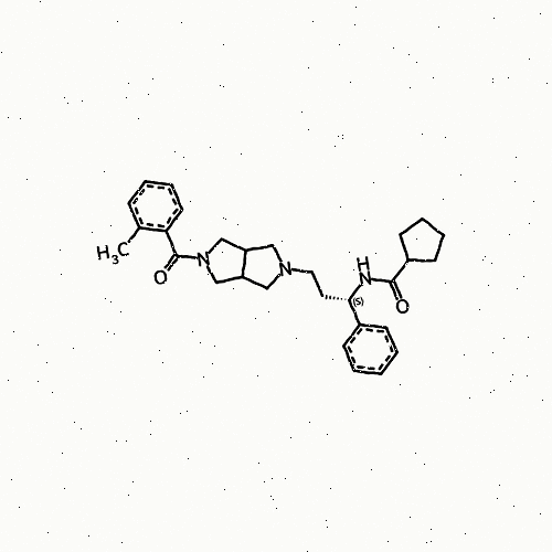 Cc1ccccc1C(=O)N1CC2CN(CC[C@H](NC(=O)C3CCCC3)c3ccccc3)CC2C1